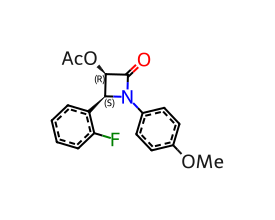 COc1ccc(N2C(=O)[C@H](OC(C)=O)[C@@H]2c2ccccc2F)cc1